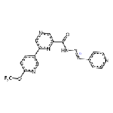 O=C(N/N=C/c1ccncc1)c1cncc(-c2ccc(OC(F)(F)F)nc2)n1